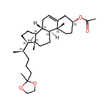 CC(=O)O[C@H]1CC[C@@]2(C)C(=CC[C@H]3[C@@H]4CC[C@H]([C@H](C)CCCC5(C)OCCO5)[C@@]4(C)CC[C@@H]32)C1